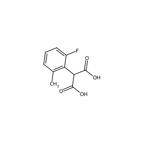 Cc1cccc(F)c1C(C(=O)O)C(=O)O